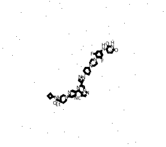 CCC1(C(=O)NC2CCC2)CCN(c2ccc(-c3nc(-c4cnn([C@H]5CC[C@H](N6CCN(c7c(F)cc(N[C@H]8CCC(=O)NC8=O)cc7F)CC6)CC5)c4)cn4ncc(C#N)c34)cn2)CC1